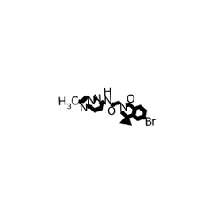 Cc1cn2nc(NC(=O)CN3CC4(CC4)c4cc(Br)ccc4C3=O)ccc2n1